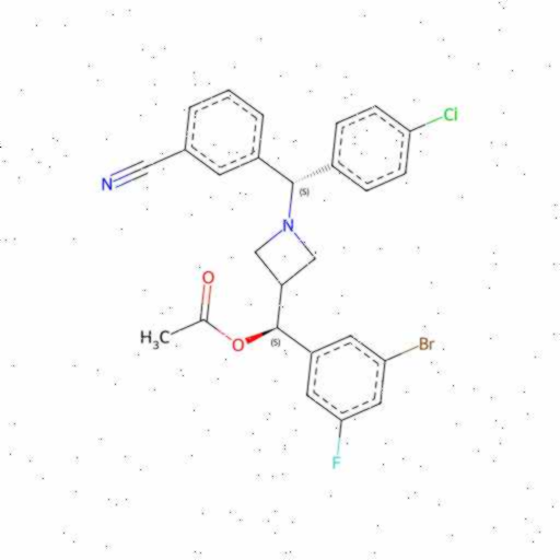 CC(=O)O[C@H](c1cc(F)cc(Br)c1)C1CN([C@@H](c2ccc(Cl)cc2)c2cccc(C#N)c2)C1